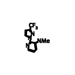 CNc1cccnc1-n1ccc(C(F)(F)F)n1